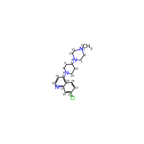 CN1CCN(C2CCN(c3ccnc4cc(Cl)ccc34)CC2)CC1